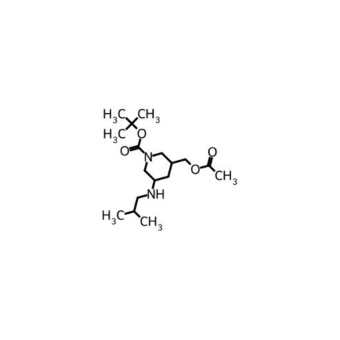 CC(=O)OCC1CC(NCC(C)C)CN(C(=O)OC(C)(C)C)C1